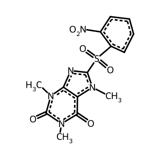 Cn1c(=O)c2c(nc(S(=O)(=O)c3ccccc3[N+](=O)[O-])n2C)n(C)c1=O